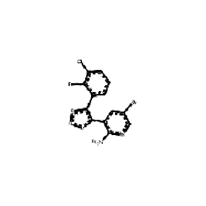 Nc1ncc(Br)cc1-c1nnsc1-c1cccc(Cl)c1F